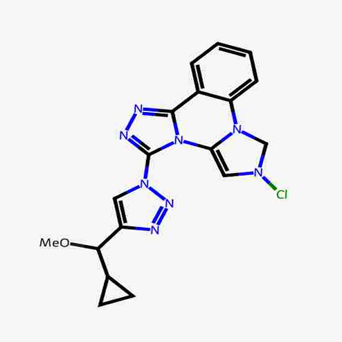 COC(c1cn(-c2nnc3n2C2=CN(Cl)CN2c2ccccc2-3)nn1)C1CC1